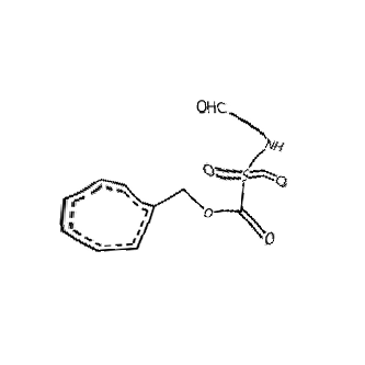 O=CNS(=O)(=O)C(=O)OCc1ccccc1